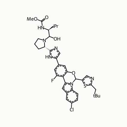 COC(=O)N[C@@H](C(C)C)C(O)N1CCC[C@H]1c1ncc(-c2cc(F)c3c(c2)OC(c2cnc(CC(C)(C)C)s2)n2c-3cc3cc(Cl)ccc32)[nH]1